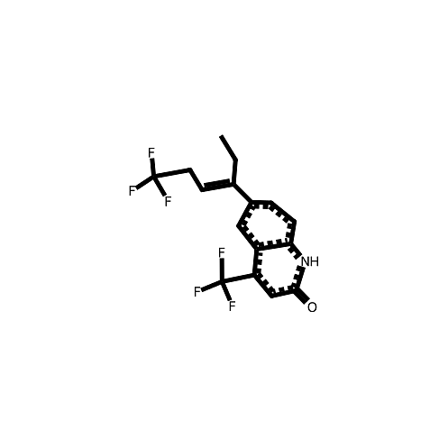 CCC(=CCC(F)(F)F)c1ccc2[nH]c(=O)cc(C(F)(F)F)c2c1